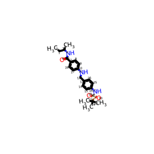 CCC(C)NC(=O)c1ccc(NCc2ccc(NS(=O)(=O)C(C)(C)C)cc2)cc1